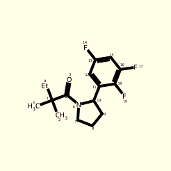 CCC(C)(C)C(=O)N1CCCC1c1cc(F)cc(F)c1F